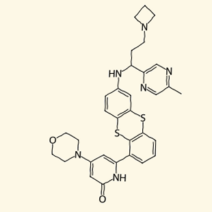 Cc1cnc(C(CCN2CCC2)Nc2ccc3c(c2)Sc2cccc(-c4cc(N5CCOCC5)cc(=O)[nH]4)c2S3)cn1